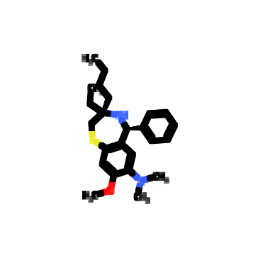 CCCC[C@]1(CC)CSc2cc(OC)c(N(C)C)cc2[C@@H](c2ccccc2)N1